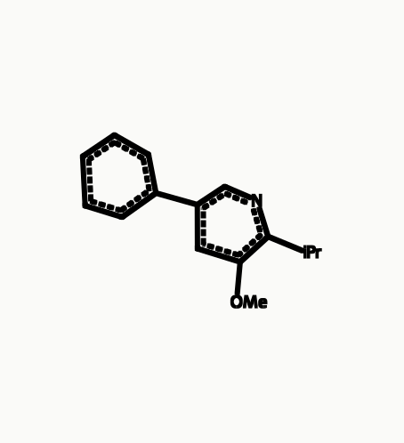 COc1cc(-c2ccccc2)cnc1C(C)C